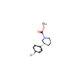 CC(C)(C)OC(=O)N1CCC[C@H](c2ccc(Br)cc2)C1